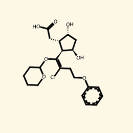 O=C(O)C[C@H]1[C@H](C(OC2CCCCO2)=C(Cl)CCOc2ccccc2)[C@H](O)C[C@H]1O